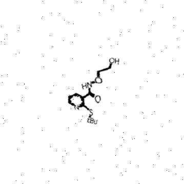 CC(C)(C)Sc1ncccc1C(=O)NOCCO